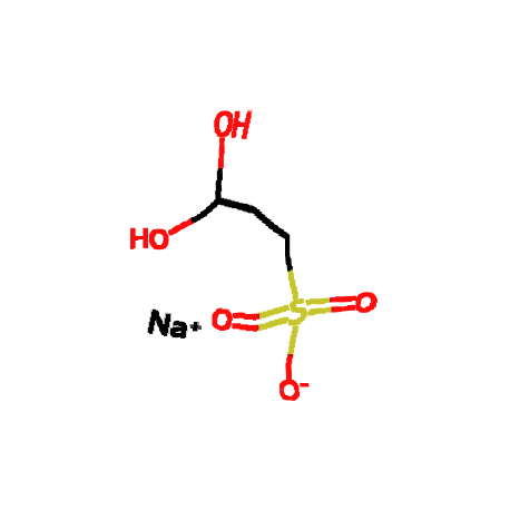 O=S(=O)([O-])CC(O)O.[Na+]